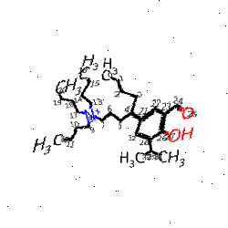 CCCCC(CCC[N+](CCCC)(CCCC)CCCC)c1cc(C=O)c(O)c(C(C)C)c1